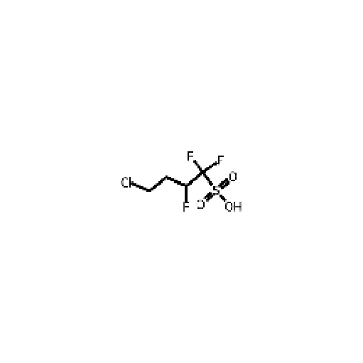 O=S(=O)(O)C(F)(F)C(F)CCCl